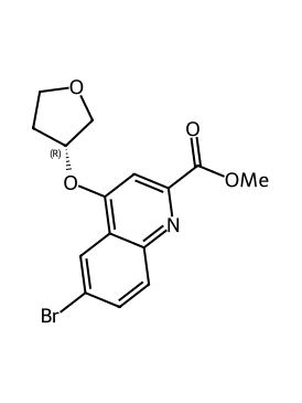 COC(=O)c1cc(O[C@@H]2CCOC2)c2cc(Br)ccc2n1